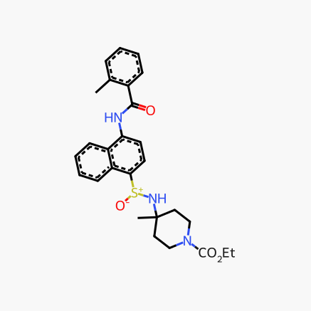 CCOC(=O)N1CCC(C)(N[S+]([O-])c2ccc(NC(=O)c3ccccc3C)c3ccccc23)CC1